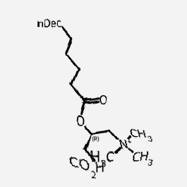 CCCCCCCCCCCCCCC(=O)O[C@H](CC(=O)O)C[N+](C)(C)C